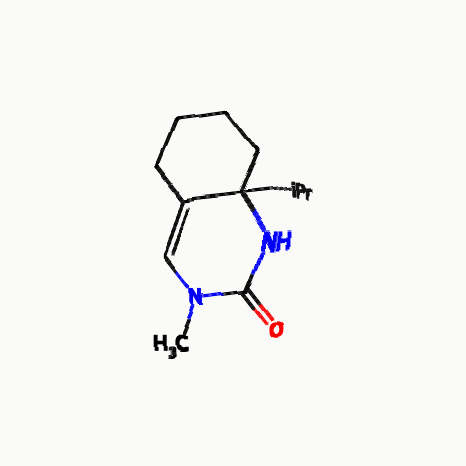 CC(C)C12CCCCC1=CN(C)C(=O)N2